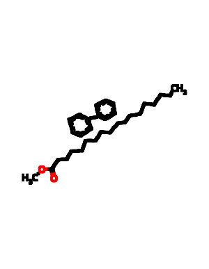 CCCCCCCCCCCCCCCCCC(=O)OC.c1ccc(-c2ccccc2)cc1